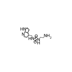 NCCNS(=O)(=O)NCc1ccnc2[nH]ccc12